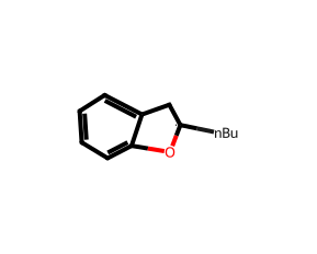 CCCC[C]1Cc2ccccc2O1